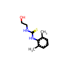 Cc1cccc(C)c1NC(=S)NCCO